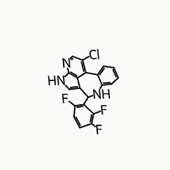 Fc1ccc(F)c(C2Nc3ccccc3-c3c(Cl)cnc4[nH]cc2c34)c1F